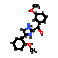 COc1cccc(C(=O)c2nc(-c3ccccc3OC)c[nH]2)c1